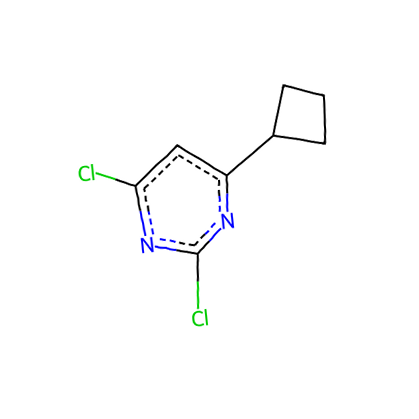 Clc1cc(C2CCC2)nc(Cl)n1